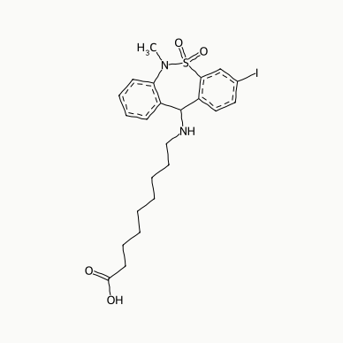 CN1c2ccccc2C(NCCCCCCCCC(=O)O)c2ccc(I)cc2S1(=O)=O